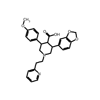 COc1ccc(C2CN(CCc3ccccn3)CC(c3ccc4c(c3)OCO4)C2C(=O)O)cc1